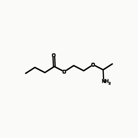 CCCC(=O)OCCOC(C)N